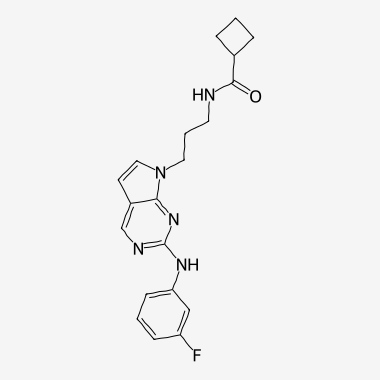 O=C(NCCCn1ccc2cnc(Nc3cccc(F)c3)nc21)C1CCC1